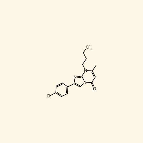 Cc1cc(=O)n2cc(-c3ccc(Cl)cc3)nc2n1CCCC(F)(F)F